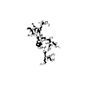 CC[C@H](C)[C@H](NC(=O)[C@H](CCSC)NC(=O)[C@H](CCCN=C(N)N)NC(=O)[C@H](Cc1ccc(O)cc1)NC(=O)[C@H](C)NC(=O)[C@H](CCC(N)=O)NC(=O)CNC(=O)[C@H](CCCCN)NC(=O)[C@@H](N)CO)C(=O)O